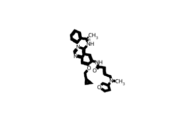 C[C@@H](Nc1ncnc2cc(OCC3CC3)c(NC(=O)C=CCN(C)C3CCOC3)cc12)c1ccccc1